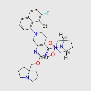 CCc1c(F)ccc2cccc(N3CCc4c(nc(OCC56CCCN5CCC6)nc4N4C[C@H]5CC[C@@H](C4)N5C(=O)OC(C)(C)C)C3)c12